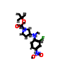 CN(c1ccc([N+](=O)[O-])cc1F)[C@@H]1CCN(C(=O)OC(C)(C)C)C1